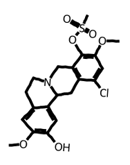 COc1cc2c(cc1O)C1Cc3c(Cl)cc(OC)c(OS(C)(=O)=O)c3CN1CC2